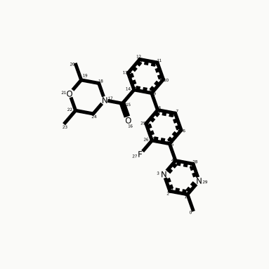 Cc1cnc(-c2ccc(-c3ccccc3C(=O)N3CC(C)OC(C)C3)cc2F)cn1